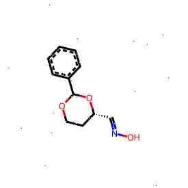 O/N=C/[C@@H]1CCOC(c2ccccc2)O1